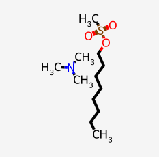 CCCCCCCCOS(C)(=O)=O.CN(C)C